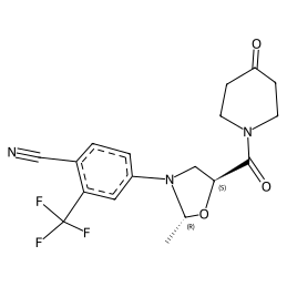 C[C@H]1O[C@H](C(=O)N2CCC(=O)CC2)CN1c1ccc(C#N)c(C(F)(F)F)c1